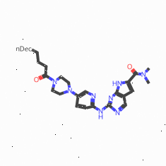 CCCCCCCCCCCCCC(=O)N1CCN(c2ccc(Nc3ncc4cc(C(=O)N(C)C)[nH]c4n3)nc2)CC1